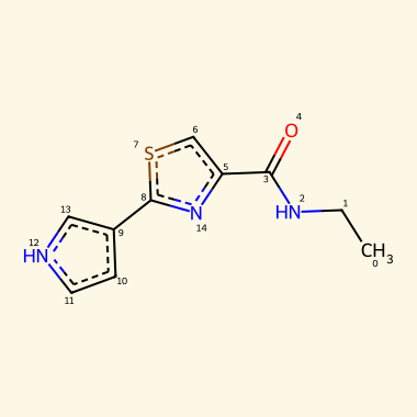 CCNC(=O)c1csc(-c2cc[nH]c2)n1